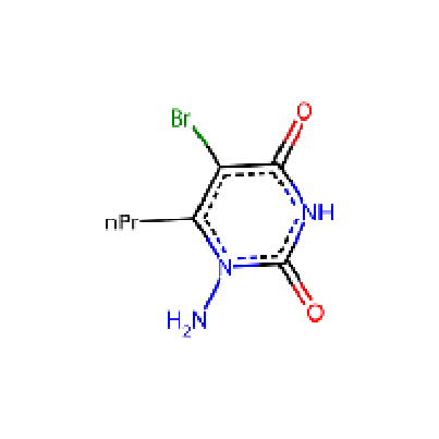 CCCc1c(Br)c(=O)[nH]c(=O)n1N